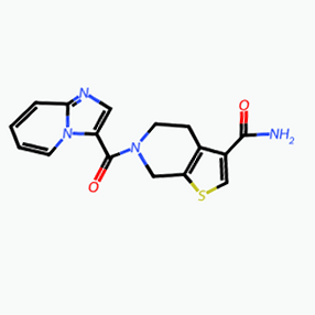 NC(=O)c1csc2c1CCN(C(=O)c1cnc3ccccn13)C2